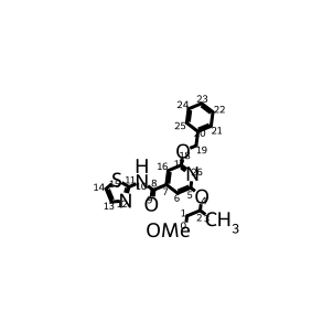 COCC(C)Oc1cc(C(=O)Nc2nccs2)cc(OCc2ccccc2)n1